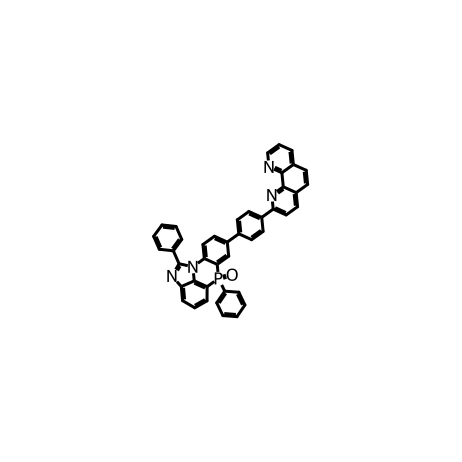 O=P1(c2ccccc2)c2cc(-c3ccc(-c4ccc5ccc6cccnc6c5n4)cc3)ccc2-n2c(-c3ccccc3)nc3cccc1c32